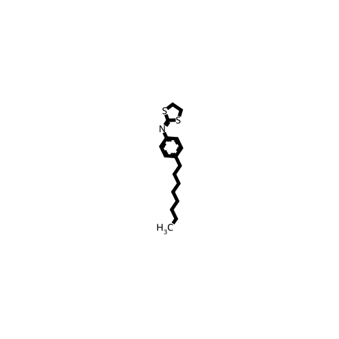 CCCCCCCCc1ccc(N=C2SCCS2)cc1